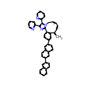 C=C1/C=C\C=C/Cn2c(nc(-c3ccccn3)c2-c2ccccn2)-c2ccc(-c3ccc4cc(-c5ccc6ccccc6c5)ccc4c3)cc21